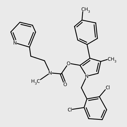 Cc1ccc(-c2c(C)cn(Cc3c(Cl)cccc3Cl)c2OC(=O)N(C)CCc2ccccn2)cc1